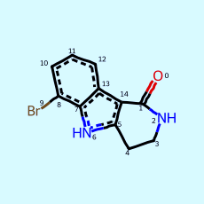 O=C1NCCc2[nH]c3c(Br)cccc3c21